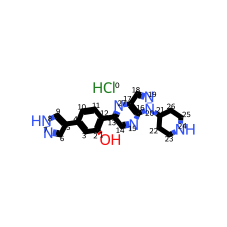 Cl.Oc1cc(-c2cn[nH]c2)ccc1-c1cnc2c(cnn2C2CCNCC2)n1